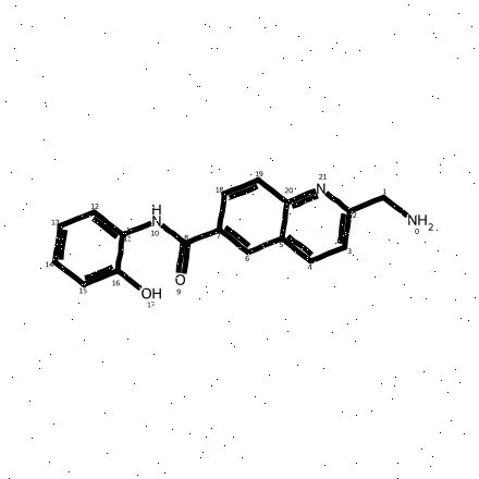 NCc1ccc2cc(C(=O)Nc3ccccc3O)ccc2n1